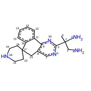 CC(N)(CN)c1ncc2c(n1)-c1ccccc1C1(CCNCC1)C2